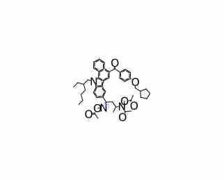 CCCCC(CC)Cn1c2ccc(/C(CC(C)N(OC(C)=O)C(C)=O)=N\OC(C)=O)cc2c2cc(C(=O)c3ccc(OCC4CCCC4)cc3)c3ccccc3c21